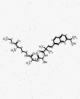 CC[C@H](C)[C@H](NC(=O)C(C)(C)/C=C/c1ccc2ccc([C@@H](C)OC(C)=O)nc2c1)C(=O)N[C@@H](C)C(=O)NCCC[C@H](N)C(=O)OCC(Cl)(Cl)Cl